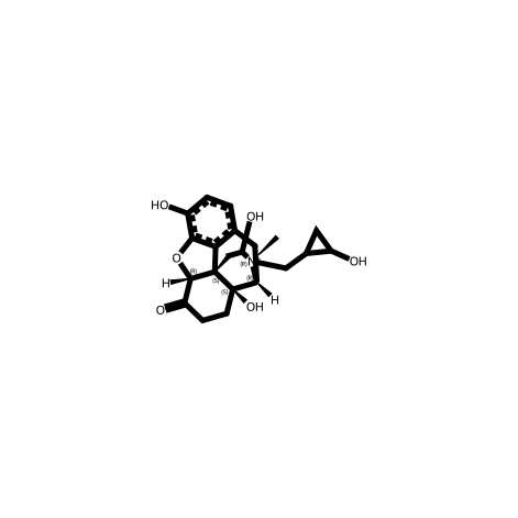 C[N@+]1(CC2CC2O)C(O)C[C@]23c4c5ccc(O)c4O[C@H]2C(=O)CC[C@@]3(O)[C@H]1C5